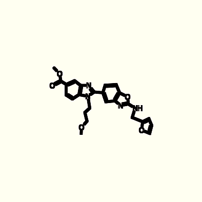 COCCCn1c(-c2ccc3oc(NCc4ccco4)nc3c2)nc2cc(C(=O)OC)ccc21